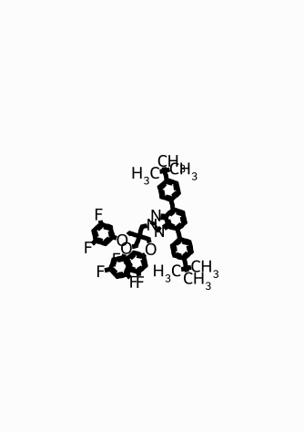 CC(C)(C)c1ccc(-c2ccc(-c3ccc(C(C)(C)C)cc3)c3nn(CC(COc4cc(F)cc(F)c4)(COc4cc(F)cc(F)c4)COc4cc(F)cc(F)c4)nc23)cc1